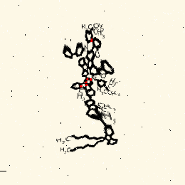 CCCCCCCCC1(CCCCCCCC)c2ccccc2-c2ccc(-c3ccc4c(c3)C(C)(C)c3cc(-c5ccc6c(c5)C(C)(C)c5cc(-c7ccc8c(c7)C7(c9ccccc9-8)c8cc(N(c9ccc(-c%10ccccc%10)cc9)c9ccc(C(C)(C)C)cc9)c9c(oc%10ccccc%109)c8-c8c7cc(N(c7ccc(-c9ccccc9)cc7)c7ccc(C(C)(C)C)cc7)c7oc9ccccc9c87)ccc5-6)ccc3-4)cc21